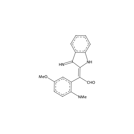 CNc1ccc(OC)cc1/C(C=O)=C1/Nc2ccccc2C1=N